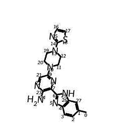 Cc1ccc2nc(-c3nc(N4CCN(c5nccs5)CC4)cnc3N)[nH]c2c1